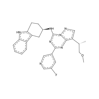 COC[C@@H](C)c1cnn2c(N[C@@H]3CCc4[nH]c5ccccc5c4C3)nc(-c3cncc(F)c3)nc12